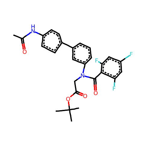 CC(=O)Nc1ccc(-c2cccc(N(CC(=O)OC(C)(C)C)C(=O)c3c(F)cc(F)cc3F)c2)cc1